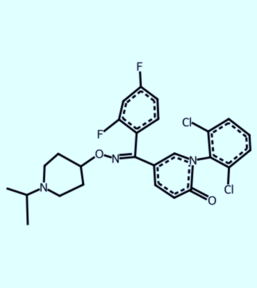 CC(C)N1CCC(O/N=C(/c2ccc(=O)n(-c3c(Cl)cccc3Cl)c2)c2ccc(F)cc2F)CC1